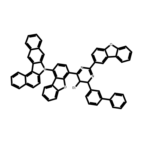 CCC1C(c2ccc(-n3c4cc5ccccc5cc4c4c5ccccc5ccc43)c3c2oc2ccccc23)=NC(c2ccc3oc4ccccc4c3c2)=NC1c1cccc(-c2ccccc2)c1